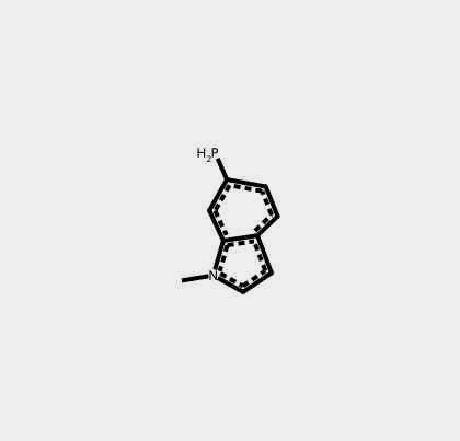 Cn1ccc2ccc(P)cc21